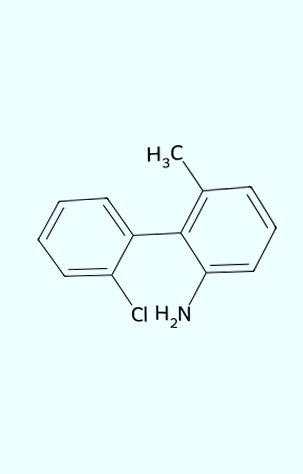 Cc1cccc(N)c1-c1ccccc1Cl